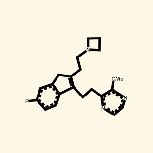 COc1nccnc1CCC1=C(CCN2CCC2)Cc2cc(F)ccc21